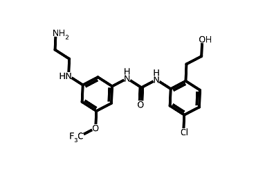 NCCNc1cc(NC(=O)Nc2cc(Cl)ccc2CCO)cc(OC(F)(F)F)c1